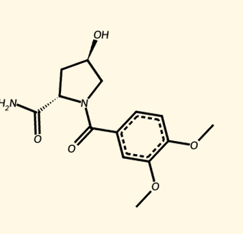 COc1ccc(C(=O)N2C[C@H](O)C[C@H]2C(N)=O)cc1OC